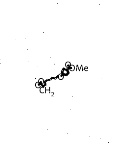 C=C1CC(CCCCCOc2ccc(C(=O)OC)cc2)OC1=O